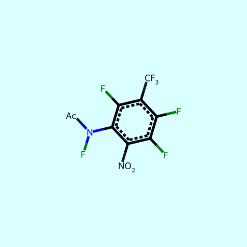 CC(=O)N(F)c1c(F)c(C(F)(F)F)c(F)c(F)c1[N+](=O)[O-]